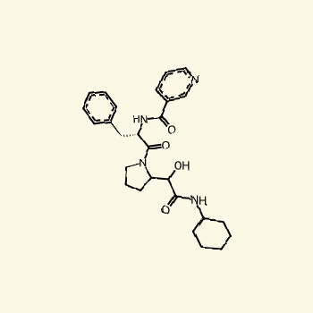 O=C(N[C@@H](Cc1ccccc1)C(=O)N1CCCC1C(O)C(=O)NC1CCCCC1)c1cccnc1